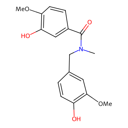 COc1ccc(C(=O)N(C)Cc2ccc(O)c(OC)c2)cc1O